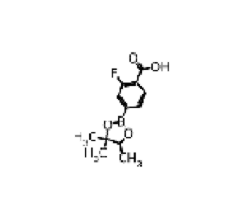 CC1OB(c2ccc(C(=O)O)c(F)c2)OC1(C)C